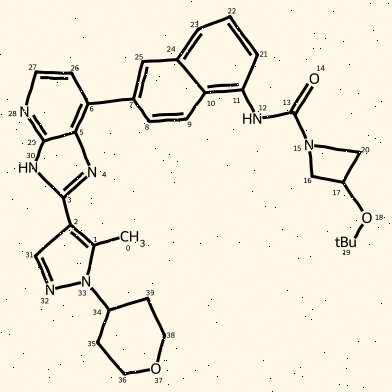 Cc1c(-c2nc3c(-c4ccc5c(NC(=O)N6CC(OC(C)(C)C)C6)cccc5c4)ccnc3[nH]2)cnn1C1CCOCC1